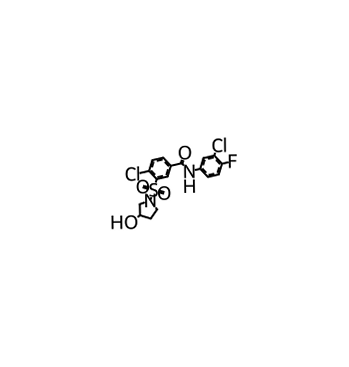 O=C(Nc1ccc(F)c(Cl)c1)c1ccc(Cl)c(S(=O)(=O)N2CCC(O)C2)c1